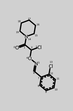 O=C(C(Cl)ON=Cc1ccccc1Cl)N1CCCCC1